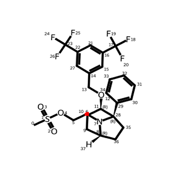 CS(=O)(=O)OCCN1[C@H]2CC[C@@H](OCc3cc(C(F)(F)F)cc(C(F)(F)F)c3)[C@]1(c1ccccc1)CC2